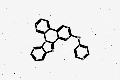 c1ccc2c(c1)nc1c3cc(Pc4ccncc4)ccc3c3ccccc3n21